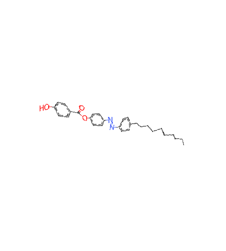 CCCCCCCCCCc1ccc(/N=N/c2ccc(OC(=O)c3ccc(O)cc3)cc2)cc1